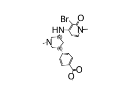 COC(=O)c1ccc([C@H]2C[C@@H](Nc3ccn(C)c(=O)c3Br)CN(C)C2)cc1